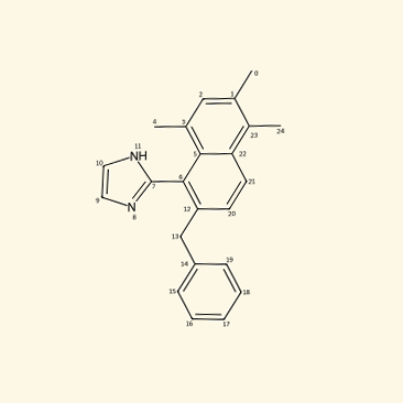 Cc1cc(C)c2c(-c3ncc[nH]3)c(Cc3ccccc3)ccc2c1C